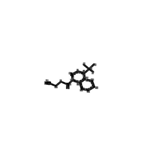 CC(C)(C)c1cnc(NCCO)c2ccccc12